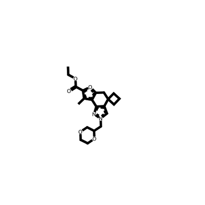 CCOC(=O)c1oc2c(c1C)-c1nn(CC3COCCO3)cc1C1(CCC1)C2